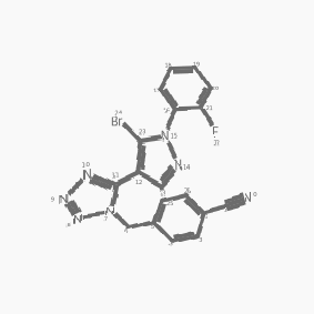 N#Cc1ccc(Cn2nnnc2-c2cnn(-c3ccccc3F)c2Br)cc1